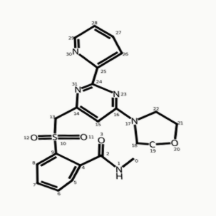 CNC(=O)c1ccccc1S(=O)(=O)Cc1cc(N2CCOCC2)nc(-c2ccccn2)n1